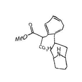 COC(=O)C(C(=O)O)c1ccccc1C1CC2CCC(C1)N2